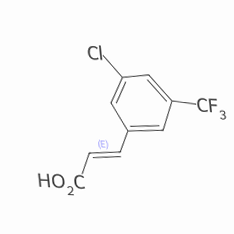 O=C(O)/C=C/c1cc(Cl)cc(C(F)(F)F)c1